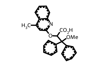 COC(c1ccccc1)(c1ccccc1)C(Oc1cc(C)c2ccccc2n1)C(=O)O